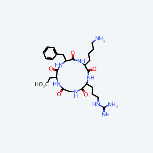 N=C(N)NCCCC1NC(=O)C(CCCCN)NC(=O)C(Cc2ccccc2)NC(=O)C(CC(=O)O)NC(=O)CNC1=O